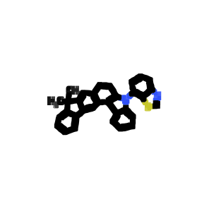 CC1(C)c2ccccc2-c2cc3c(ccc4c3c3ccccc3n4-c3cccc4ncsc34)cc21